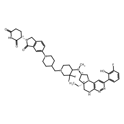 CC[C@@]12CNc3nnc(-c4cccc(F)c4O)cc3N1C[C@H](N(C)C1CCN(CC3CCN(c4ccc5c(c4)C(=O)N([C@H]4CCC(=O)NC4=O)C5)CC3)CC1(F)F)C2